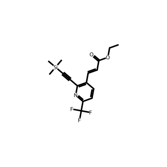 CCOC(=O)C=Cc1ccc(C(F)(F)F)nc1C#C[Si](C)(C)C